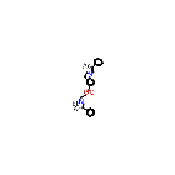 CCN(/C=C(\C(C)=O)c1ccccc1)CCOC(=O)c1ccc2c(c1)CCN2/C=C(\C(C)=O)c1ccccc1